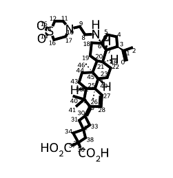 C=C(C)[C@@H]1CC[C@]2(NCCN3CCS(=O)(=O)CC3)CCC3[C@H](CC[C@@H]4[C@@]5(C)C=CC(=C6CC7(C6)CC(C(=O)O)(C(=O)O)C7)C(C)(C)[C@@H]5CC[C@@]34C)[C@@H]12